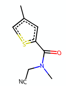 Cc1csc(C(=O)N(C)CC#N)c1